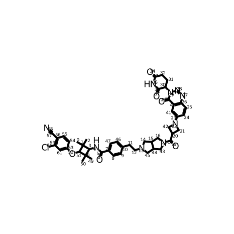 CC1(C)C(NC(=O)c2ccc(CCN3CC4CN(C(=O)C5CN(c6ccc7nnn(C8CCC(=O)NC8=O)c(=O)c7c6)C5)CC4C3)cc2)C(C)(C)C1Oc1ccc(C#N)c(Cl)c1